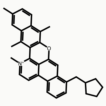 Cc1ccc2c(C)c3c(c(C)c2c1)-c1c2c(cc4c(CC5CCCC5)cccc4c2cc[n+]1C)O3